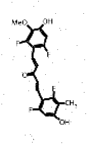 COc1c(O)cc(F)c(/C=C/C(=O)/C=C/c2c(F)cc(O)c(C)c2F)c1F